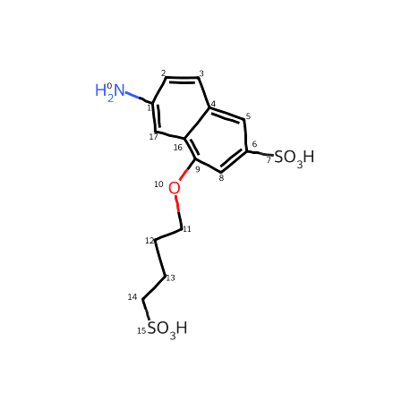 Nc1ccc2cc(S(=O)(=O)O)cc(OCCCCS(=O)(=O)O)c2c1